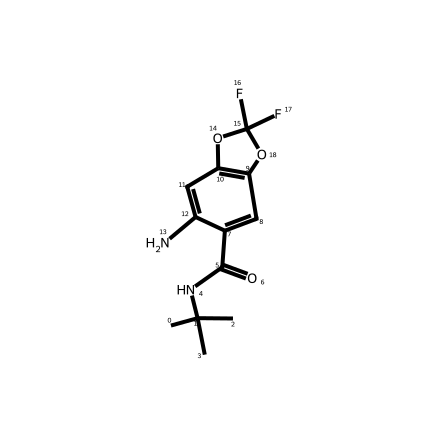 CC(C)(C)NC(=O)c1cc2c(cc1N)OC(F)(F)O2